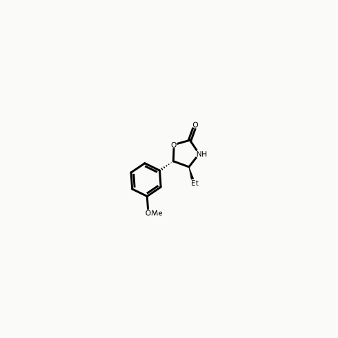 CC[C@@H]1NC(=O)O[C@H]1c1cccc(OC)c1